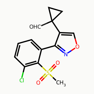 CS(=O)(=O)c1c(Cl)cccc1-c1nocc1C1(C=O)CC1